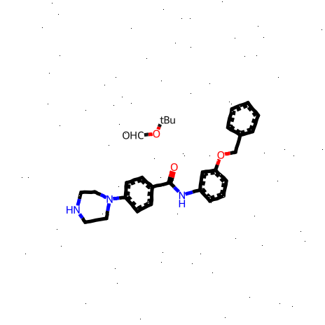 CC(C)(C)OC=O.O=C(Nc1cccc(OCc2ccccc2)c1)c1ccc(N2CCNCC2)cc1